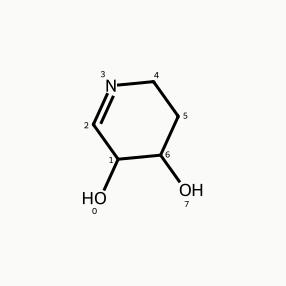 OC1C=NCCC1O